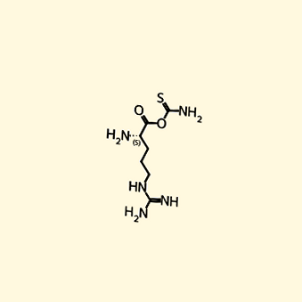 N=C(N)NCCC[C@H](N)C(=O)OC(N)=S